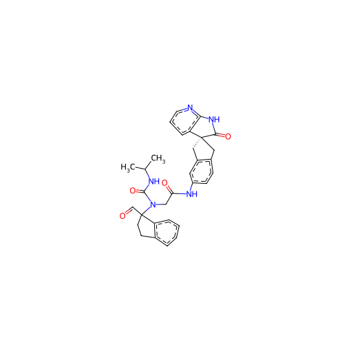 CC(C)NC(=O)N(CC(=O)Nc1ccc2c(c1)C[C@@]1(C2)C(=O)Nc2ncccc21)C1(C=O)CCc2ccccc21